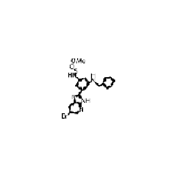 COOSNc1cc(NCc2ccccc2)cc(-c2nc3cc(Br)cnc3[nH]2)c1